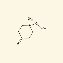 CCCCOC1(C)CCC(=O)CC1